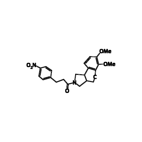 COc1ccc2c(c1OC)CCC1CN(C(=O)CCc3ccc([N+](=O)[O-])cc3)CC21